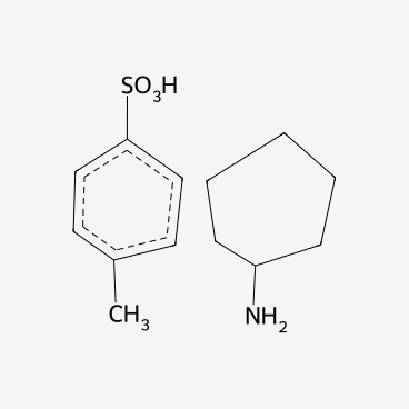 Cc1ccc(S(=O)(=O)O)cc1.NC1CCCCC1